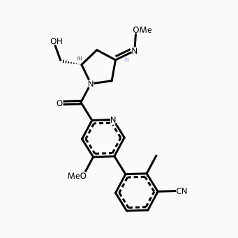 CO/N=C1\C[C@@H](CO)N(C(=O)c2cc(OC)c(-c3cccc(C#N)c3C)cn2)C1